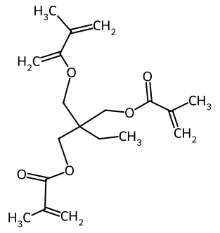 C=C(C)C(=C)OCC(CC)(COC(=O)C(=C)C)COC(=O)C(=C)C